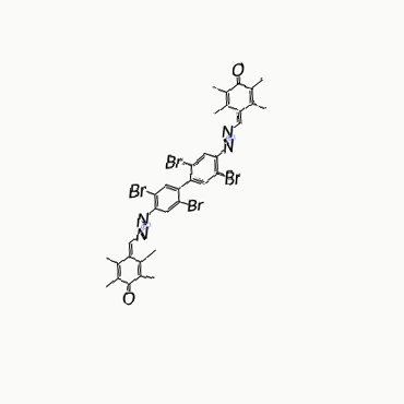 CC1=C(C)C(=C/N=N/c2cc(Br)c(-c3cc(Br)c(/N=N/C=C4C(C)=C(C)C(=O)C(C)=C4C)cc3Br)cc2Br)C(C)=C(C)C1=O